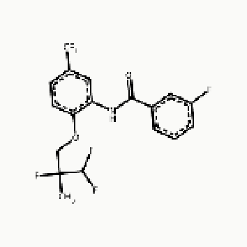 CC(F)(COc1ccc(C(F)(F)F)cc1NC(=O)c1cccc(F)c1)C(F)F